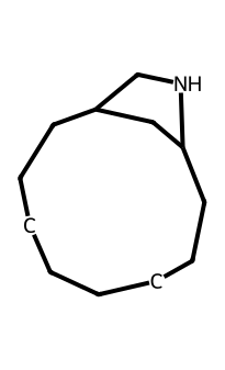 C1CCCCC2CC(CCC1)CN2